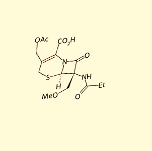 CCC(=O)N[C@@]1(COC)C(=O)N2C(C(=O)O)=C(COC(C)=O)CS[C@@H]21